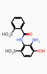 Nc1c(O)ccc(S(=O)(=O)O)c1NC(=O)c1ccccc1S(=O)(=O)O